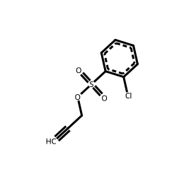 C#CCOS(=O)(=O)c1ccccc1Cl